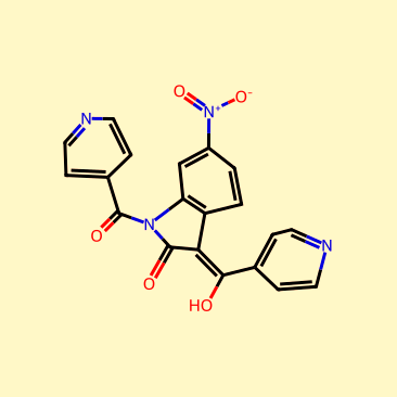 O=C1/C(=C(\O)c2ccncc2)c2ccc([N+](=O)[O-])cc2N1C(=O)c1ccncc1